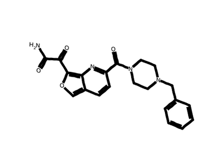 NC(=O)C(=O)c1occ2ccc(C(=O)N3CCN(Cc4ccccc4)CC3)nc12